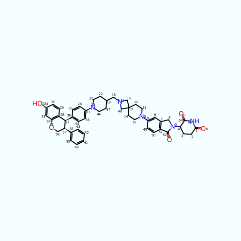 O=C1CCC(N2Cc3cc(N4CCC5(CC4)CN(CC4CCN(c6ccc([C@@H]7c8ccc(O)cc8OC[C@@H]7c7ccccc7)cc6)CC4)C5)ccc3C2=O)C(=O)N1